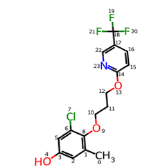 Cc1cc(O)cc(Cl)c1OCCCOc1ccc(C(F)(F)F)cn1